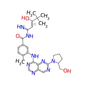 Cc1ccc(C(=O)NC(=N)/C=C(\O)C(C)(C)C)cc1Nc1ncnc2cnc(N3CCCC3CO)nc12